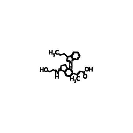 CC(=CC(=O)O)c1ccc2c(c1)CC[C@@H]2NCCO.CCCc1c[nH]c2ccccc12